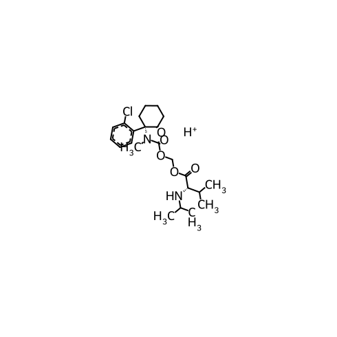 CC(C)N[C@H](C(=O)OCOC(=O)N(C)[C@]1(c2ccccc2Cl)CCCCC1=O)C(C)C.[H+]